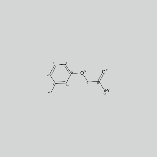 Cc1cccc(OCC(=O)C(C)C)c1